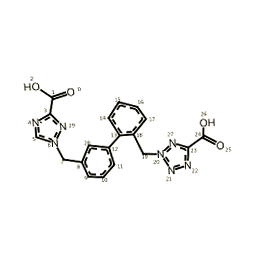 O=C(O)c1ncn(Cc2cccc(-c3ccccc3Cn3nnc(C(=O)O)n3)c2)n1